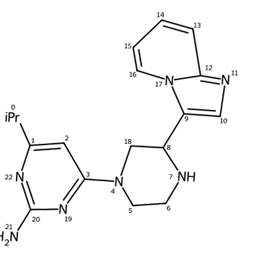 CC(C)c1cc(N2CCNC(c3cnc4ccccn34)C2)nc(N)n1